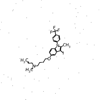 C=CCN(C)CCCCOc1ccc2c(c1)c(I)c(C)n2-c1ccc(C(F)(F)F)cc1